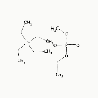 CCOP(=O)([O-])OC.CC[P+](CC)(CC)CC